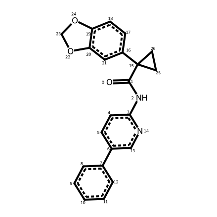 O=C(Nc1ccc(-c2ccccc2)cn1)C1(c2ccc3c(c2)OCO3)CC1